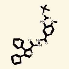 COc1ccc(C(=O)NNC(=O)c2occ(-c3ccccc3)c2-c2ccccc2)cc1NC(=O)OC(C)(C)C